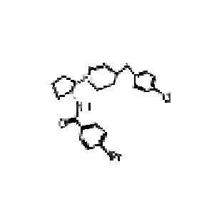 CC(C)c1ccc(C(=O)N[C@@H]2CCC[C@H]2N2CCC(Cc3ccc(Cl)cc3)CC2)cc1